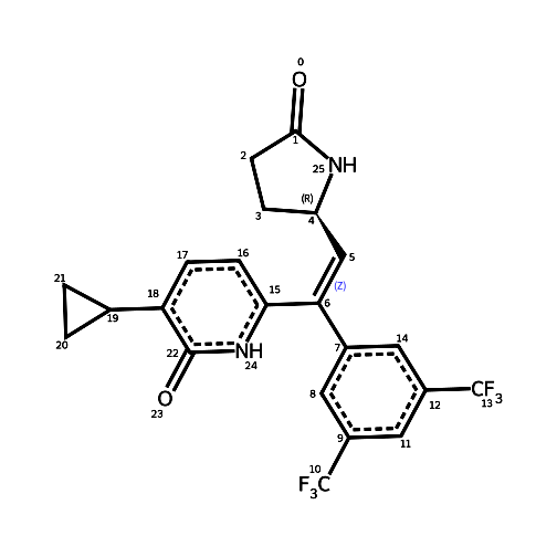 O=C1CC[C@H](/C=C(/c2cc(C(F)(F)F)cc(C(F)(F)F)c2)c2ccc(C3CC3)c(=O)[nH]2)N1